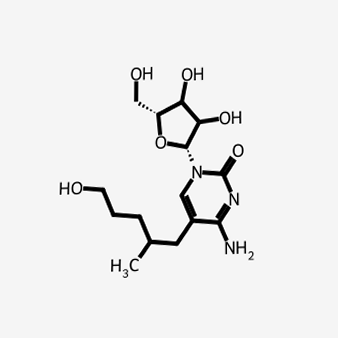 CC(CCCO)Cc1cn([C@@H]2O[C@H](CO)C(O)C2O)c(=O)nc1N